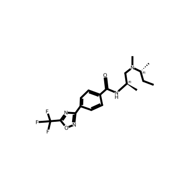 CC[C@@H](C)N(C)C[C@@H](C)NC(=O)c1ccc(-c2noc(C(F)(F)F)n2)cc1